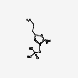 Cl.NCCc1cn(OP(=O)(O)O)cn1.[NaH]